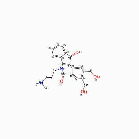 CN(C)CCCn1c2c(c3cc(CO)c(CO)cc3c1=O)C(=O)c1ccccc1-2